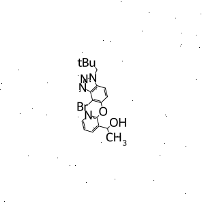 CC(O)c1cccnc1Oc1ccc2c(nnn2CC(C)(C)C)c1Br